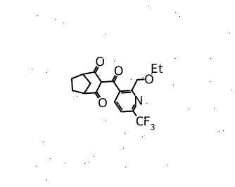 CCOCc1nc(C(F)(F)F)ccc1C(=O)C1C(=O)C2CCC(C2)C1=O